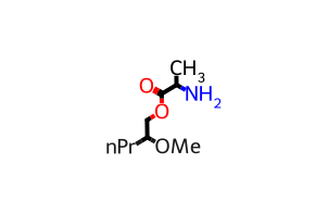 CCCC(COC(=O)C(C)N)OC